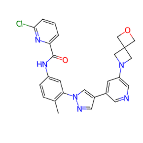 Cc1ccc(NC(=O)c2cccc(Cl)n2)cc1-n1cc(-c2cncc(N3CC4(COC4)C3)c2)cn1